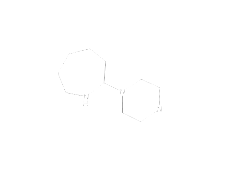 C1CCNC(N2CC[N]CC2)CC1